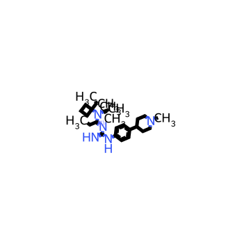 CC/C(=N\C(=N)Nc1ccc(C2CCN(C)CC2)cc1)N(C(C)(C)C)C1(C(C)C)CCC1